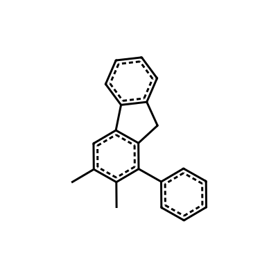 Cc1cc2c(c(-c3ccccc3)c1C)Cc1ccccc1-2